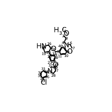 COCCCN1CCOc2ccc(COC3CNCCC3c3ccc(O[C@H]4CCN(c5cccc(Cl)c5)C4)cc3)cc21